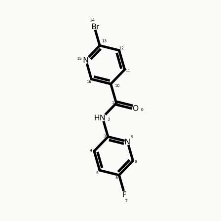 O=C(Nc1ccc(F)cn1)c1ccc(Br)nc1